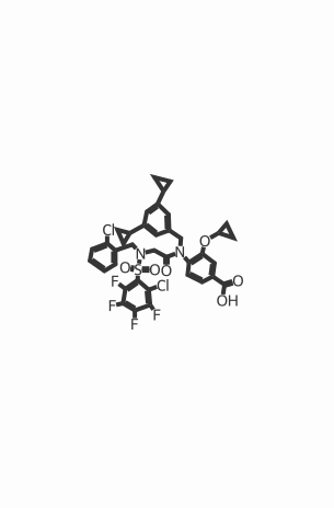 O=C(O)c1ccc(N(Cc2cc(C3CC3)cc(C3CC3)c2)C(=O)CN(Cc2ccccc2Cl)S(=O)(=O)c2c(F)c(F)c(F)c(F)c2Cl)c(OC2CC2)c1